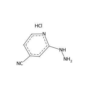 Cl.N#Cc1ccnc(NN)c1